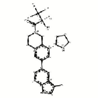 Cc1c[nH]c2ncc(-c3cc4c(c([C@@H]5CCCN5)c3)CN(C(=O)[C@](C)(O)C(F)(F)F)CC4)cc12